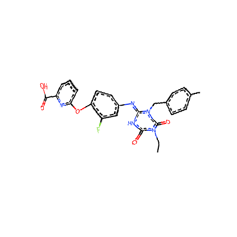 CCn1c(=O)[nH]/c(=N\c2ccc(Oc3cccc(C(=O)O)n3)c(F)c2)n(Cc2ccc(C)cc2)c1=O